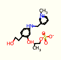 CCCOS(=O)(=O)[O-].C[n+]1cccc(CNc2ccc(CCO)c(O)c2)c1